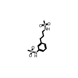 CS(=O)(=O)NCC[CH]c1cccc(NS(C)(=O)=O)c1